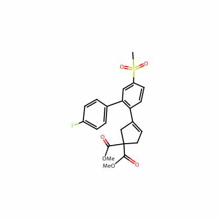 COC(=O)C1(C(=O)OC)CC=C(c2ccc(S(C)(=O)=O)cc2-c2ccc(F)cc2)C1